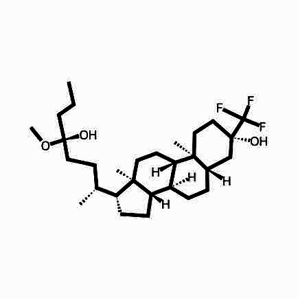 CCC[C@](O)(CC[C@@H](C)[C@H]1CC[C@H]2[C@@H]3CC[C@H]4C[C@](O)(C(F)(F)F)CC[C@]4(C)[C@H]3CC[C@]12C)OC